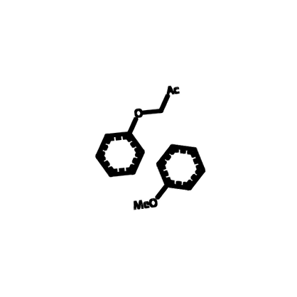 CC(=O)COc1ccccc1.COc1ccccc1